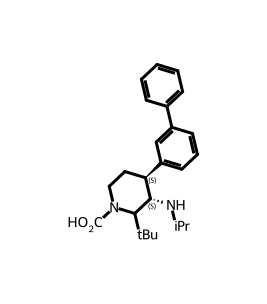 CC(C)N[C@@H]1C(C(C)(C)C)N(C(=O)O)CC[C@H]1c1cccc(-c2ccccc2)c1